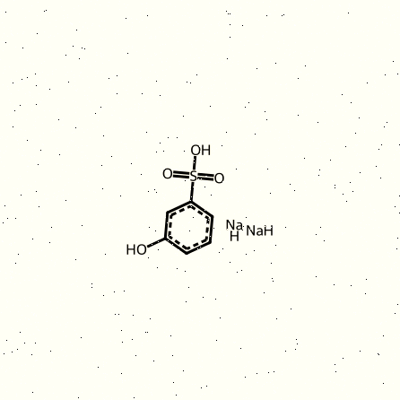 O=S(=O)(O)c1cccc(O)c1.[NaH].[NaH]